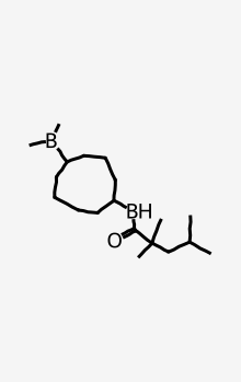 CB(C)C1CCCCC(BC(=O)C(C)(C)CC(C)C)CCC1